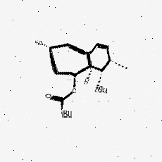 CC[C@H](C)C(=O)O[C@H]1C[C@H](O)C=C2C=C[C@H](C)[C@H](C(C)(C)C)[C@H]21